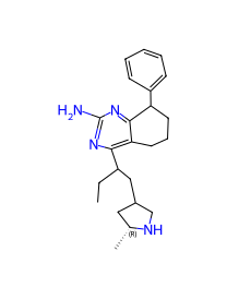 CCC(CC1CN[C@H](C)C1)c1nc(N)nc2c1CCCC2c1ccccc1